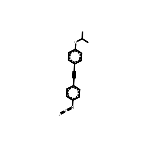 CC(C)Oc1ccc(C#Cc2ccc(N=C=S)cc2)cc1